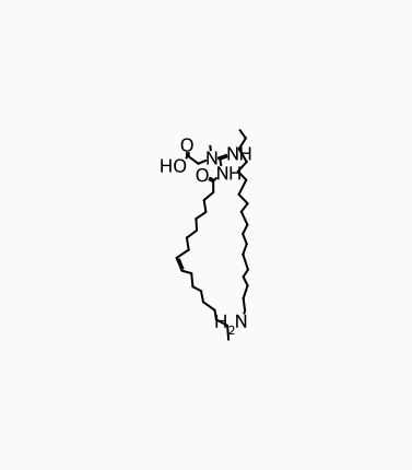 CCCCCCCC/C=C\CCCCCCCC(=O)NC(=N)N(C)CC(=O)O.CCCCCCCCCCCCCCCCCCN